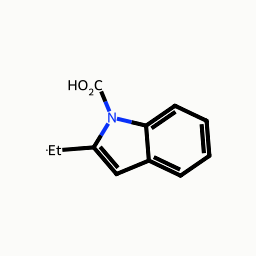 C[CH]c1cc2ccccc2n1C(=O)O